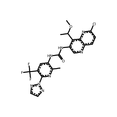 COC(C)c1c(NC(=O)Nc2cc(C(F)(F)F)c(-n3nccn3)nc2C)cnc2ccc(Cl)nc12